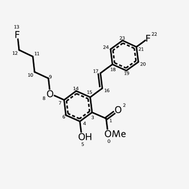 COC(=O)c1c(O)cc(OCCCCF)cc1C=Cc1ccc(F)cc1